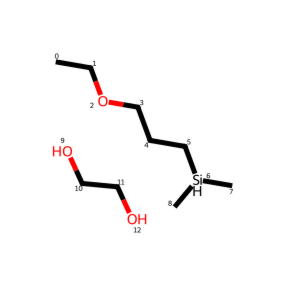 CCOCCC[SiH](C)C.OCCO